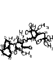 Cc1c(O)c(C)c2c(c1CNc1c(N)n(-c3cccc4ccccc34)c(=O)n(C)c1=O)OC(C)(C)C2